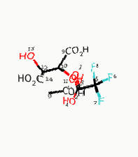 CC(=O)O.O=C(O)C(F)(F)F.O=C(O)C(O)C(O)C(=O)O